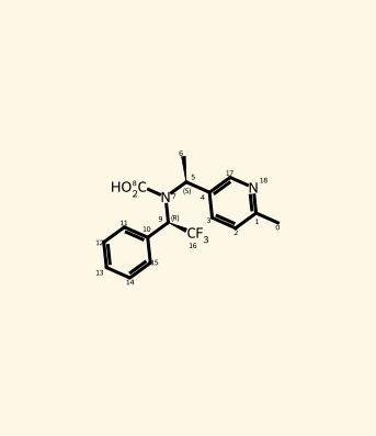 Cc1ccc([C@H](C)N(C(=O)O)[C@H](c2ccccc2)C(F)(F)F)cn1